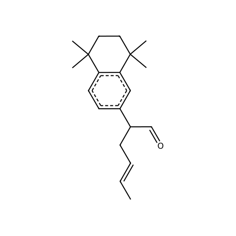 CC=CCC(C=O)c1ccc2c(c1)C(C)(C)CCC2(C)C